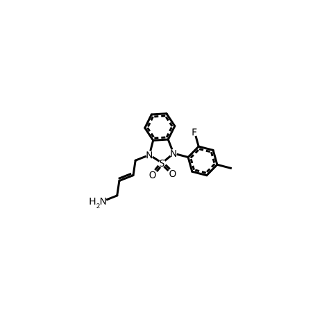 Cc1ccc(N2c3ccccc3N(CC=CCN)S2(=O)=O)c(F)c1